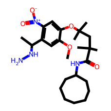 COc1cc(C(C)NN)c([N+](=O)[O-])cc1OC(C)(C)CC(C)(C)C(=O)NC1CCCCCCC1